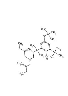 C=C(CC)CN(CCC(C)(C)c1cc(SC(C)(C)C)cc(C(C)(C)C)c1O)CC(=C)CC